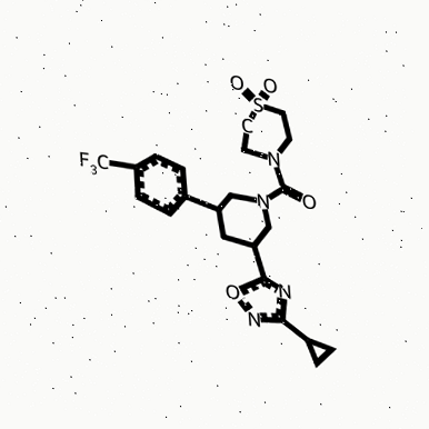 O=C(N1CCS(=O)(=O)CC1)N1CC(c2ccc(C(F)(F)F)cc2)CC(c2nc(C3CC3)no2)C1